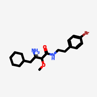 COC(C(=O)NCCc1ccc(Br)cc1)[C@H](N)CC1CCCCC1